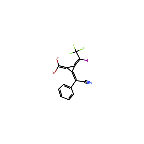 N#C/C(=C1/C(=C(Br)Br)/C1=C(/I)C(F)(F)F)c1ccccc1